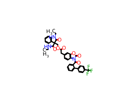 CCNC(=O)C(COC(=O)Cc1ccc2c(c1)oc(=O)n2C(=O)c1ccccc1-c1ccc(C(F)(F)F)cc1)(C(=O)NCC)c1ccccc1